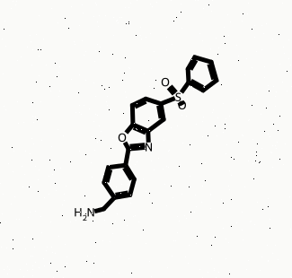 NCc1ccc(-c2nc3cc(S(=O)(=O)c4ccccc4)ccc3o2)cc1